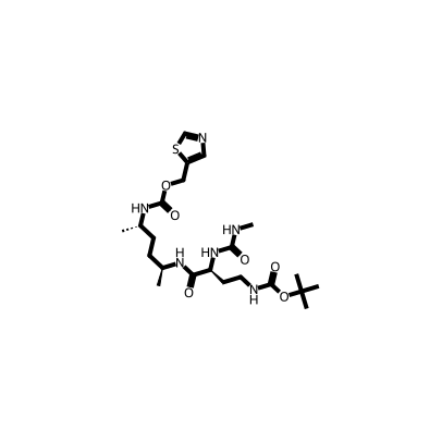 CNC(=O)N[C@@H](CCNC(=O)OC(C)(C)C)C(=O)N[C@@H](C)CC[C@H](C)NC(=O)OCc1cncs1